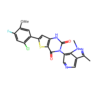 COc1cc(-c2cc3[nH]c(=O)n(-c4cncc5c(C)nn(C)c45)c(=O)c3s2)c(Cl)cc1F